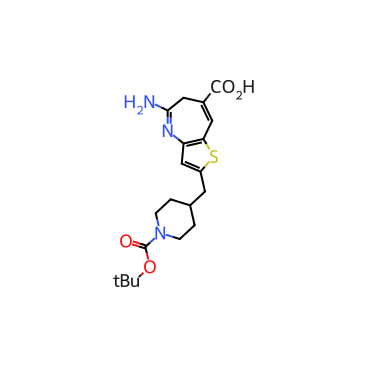 CC(C)(C)OC(=O)N1CCC(Cc2cc3c(s2)C=C(C(=O)O)CC(N)=N3)CC1